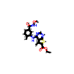 CCOC(=O)c1sc2ncnc(Nc3cc(C(=O)NOC)ccc3C)c2c1C